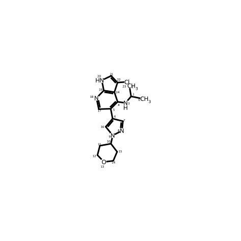 CC(C)Nc1c(-c2cnn(C3CCOCC3)c2)cnc2[nH]cc(Cl)c12